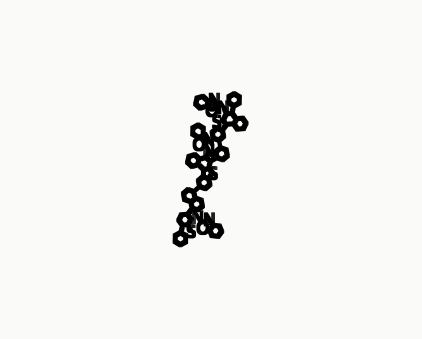 c1ccc2oc(-n3c4ccc5c(-c6ccc7sc8c(c7c6)c6ccccc6c6c8c7cccc(-c8ccc9sc%10c(c9c8)c8ccccc8c8c9ccccc9n(-c9nc%11ccccc%11o9)c%108)c7n6-c6nc7ccccc7o6)cccc5c4c4ccc5c6ccccc6sc5c43)nc2c1